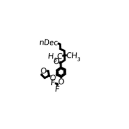 CCCCCCCCCCCCCC(C)(C)CC(=O)c1ccc(OC(F)F)c(OC2CCOC2)c1